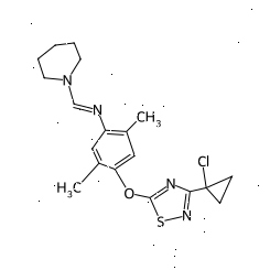 Cc1cc(Oc2nc(C3(Cl)CC3)ns2)c(C)cc1N=CN1CCCCC1